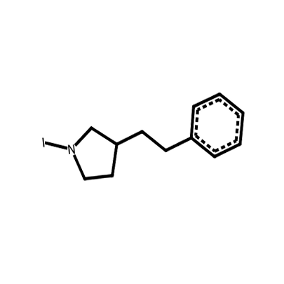 IN1CCC(CCc2ccccc2)C1